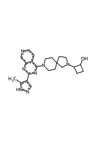 Cc1[nH]ncc1-c1nc(N2CCC3(CC2)CCN(C2CCC2O)C3)c2ccncc2n1